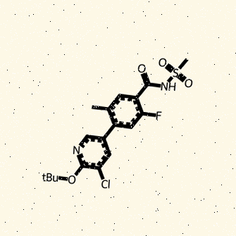 Cc1cc(C(=O)NS(C)(=O)=O)c(F)cc1-c1cnc(OC(C)(C)C)c(Cl)c1